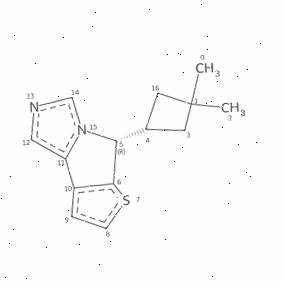 CC1(C)CC([C@@H]2c3sccc3-c3cncn32)C1